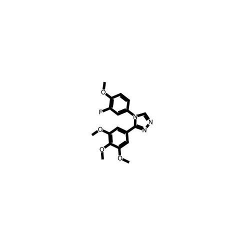 COc1ccc(-n2cnnc2-c2cc(OC)c(OC)c(OC)c2)cc1F